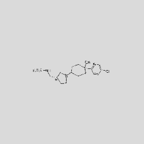 CCOC(=O)NC[C@H]1CCN(C2CCC(C#N)(c3ccc(Cl)cn3)CC2)C1